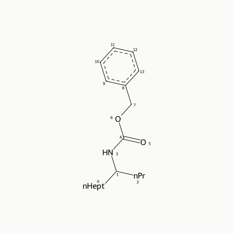 CCCCCCCC(CCC)NC(=O)OCc1ccccc1